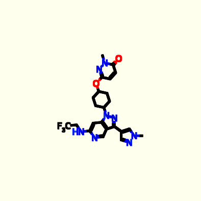 Cn1cc(-c2nn(C3CCC(Oc4ccc(=O)n(C)n4)CC3)c3cc(NCC(F)(F)F)ncc23)cn1